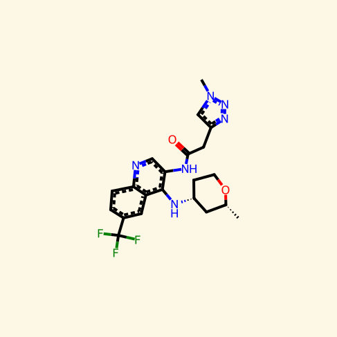 C[C@@H]1C[C@H](Nc2c(NC(=O)Cc3cn(C)nn3)cnc3ccc(C(F)(F)F)cc23)CCO1